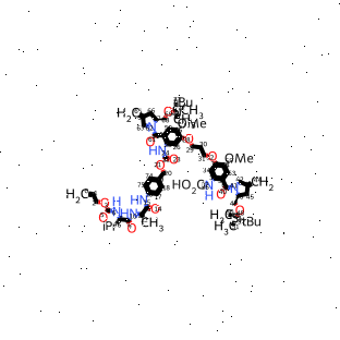 C=CCOC(=O)NC(C(=O)NC(C)C(=O)Nc1ccc(COC(=O)Nc2cc(OCCCOc3cc(NC(=O)O)c(C(=O)N4CC(=C)C[C@H]4CO[Si](C)(C)C(C)(C)C)cc3OC)c(OC)cc2C(=O)N2CC(=C)C[C@H]2CO[Si](C)(C)C(C)(C)C)cc1)C(C)C